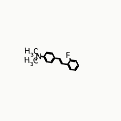 CN(C)c1ccc(C=Cc2ccccc2F)cc1